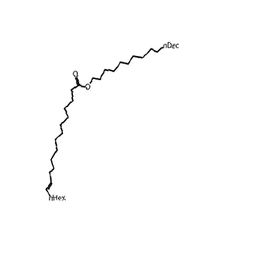 CCCCCCC=CCCCCCCCCCCCC(=O)OCCCCCCCCCCCCCCCCCCCC